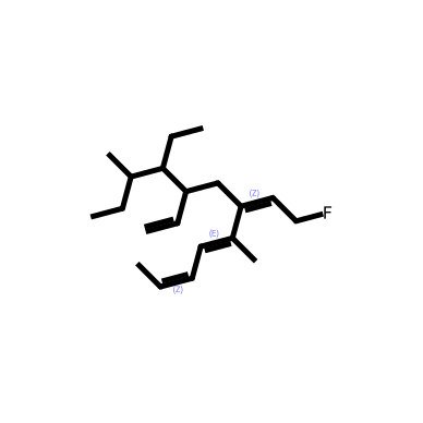 C=CC(CC(=C/CF)/C(C)=C/C=C\C)C(CC)C(C)CC